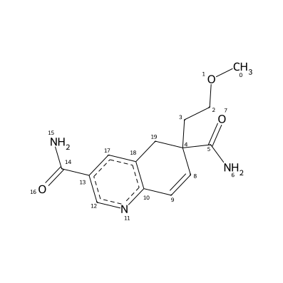 COCCC1(C(N)=O)C=Cc2ncc(C(N)=O)cc2C1